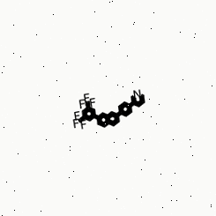 FC(F)(F)c1cc(-c2ccc3ccc(-c4ccc(-c5cccnc5)cc4)cc3c2)cc(C(F)(F)F)c1